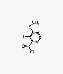 CSc1cccc(C(=O)Cl)c1F